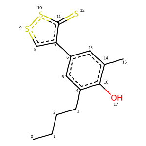 CCCCc1cc(-c2cssc2=S)cc(C)c1O